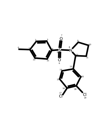 Cc1ccc(S(=O)(=O)N2CCCC2c2ccc(Cl)c(Cl)c2)cc1